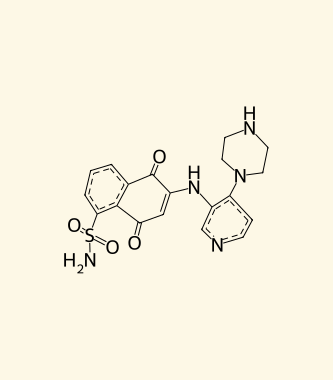 NS(=O)(=O)c1cccc2c1C(=O)C=C(Nc1cnccc1N1CCNCC1)C2=O